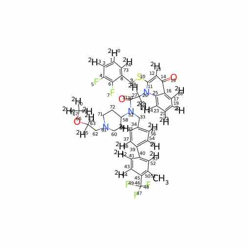 [2H]c1c([2H])c(F)c(F)c(CSc2c([2H])c(=O)c3c([2H])c([2H])c([2H])c([2H])c3n2C([2H])([2H])C(=O)N(Cc2c([2H])c([2H])c(-c3c([2H])c([2H])c(C(F)(F)F)c(C)c3[2H])c([2H])c2[2H])C2CCN(CC([2H])([2H])OC([2H])([2H])[2H])CC2)c1[2H]